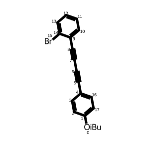 CC(C)COc1ccc(C#CC#Cc2ccccc2Br)cc1